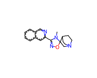 CN1C(c2cc3ccccc3cn2)=NOC12CN1CCC2CC1